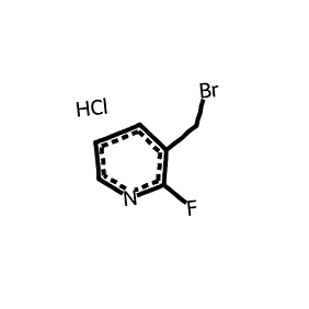 Cl.Fc1ncccc1CBr